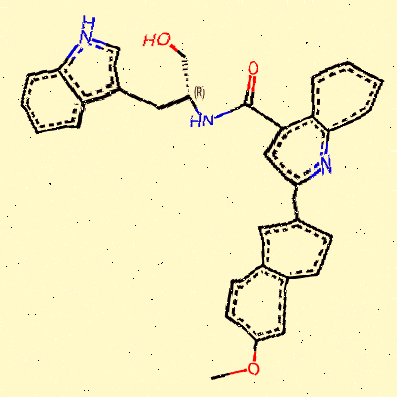 COc1ccc2cc(-c3cc(C(=O)N[C@@H](CO)Cc4c[nH]c5ccccc45)c4ccccc4n3)ccc2c1